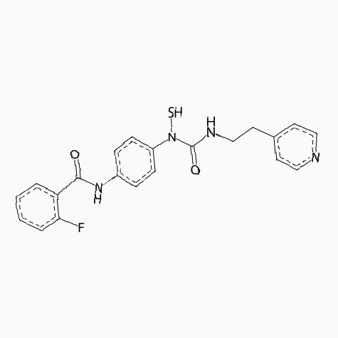 O=C(Nc1ccc(N(S)C(=O)NCCc2ccncc2)cc1)c1ccccc1F